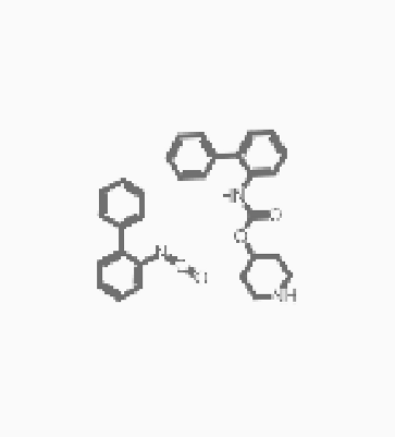 O=C(Nc1ccccc1-c1ccccc1)OC1CCNCC1.O=C=Nc1ccccc1-c1ccccc1